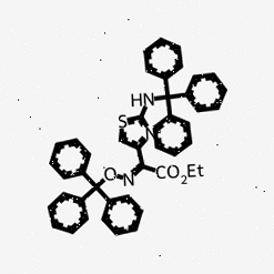 CCOC(=O)C(=NOC(c1ccccc1)(c1ccccc1)c1ccccc1)c1csc(NC(c2ccccc2)(c2ccccc2)c2ccccc2)n1